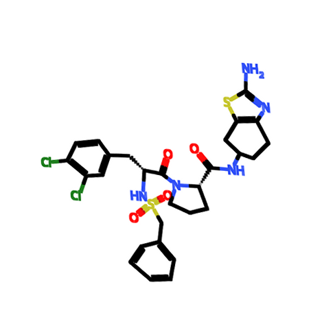 Nc1nc2c(s1)CC(NC(=O)[C@@H]1CCCN1C(=O)[C@@H](Cc1ccc(Cl)c(Cl)c1)NS(=O)(=O)Cc1ccccc1)CC2